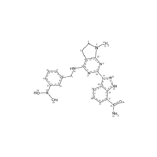 CN1CCc2c(NCc3cccc(B(O)O)c3)nc(-c3n[nH]c4c(C(N)=O)cccc34)nc21